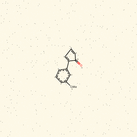 COc1cccc(C2=CC=CC2=O)c1